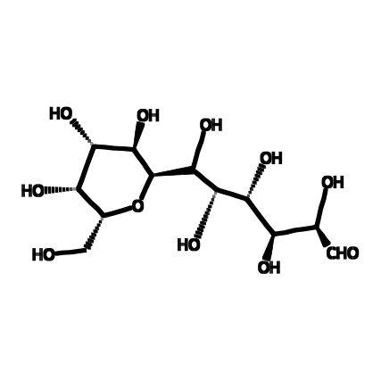 O=C[C@H](O)[C@@H](O)[C@@H](O)[C@H](O)C(O)[C@H]1O[C@H](CO)[C@H](O)[C@H](O)[C@H]1O